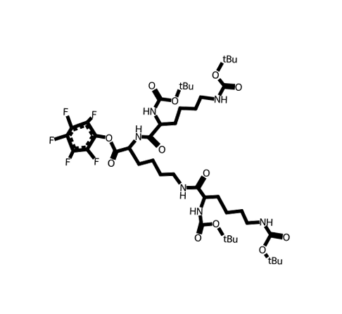 CC(C)(C)OC(=O)NCCCCC(NC(=O)OC(C)(C)C)C(=O)NCCCCC(NC(=O)C(CCCCNC(=O)OC(C)(C)C)NC(=O)OC(C)(C)C)C(=O)Oc1c(F)c(F)c(F)c(F)c1F